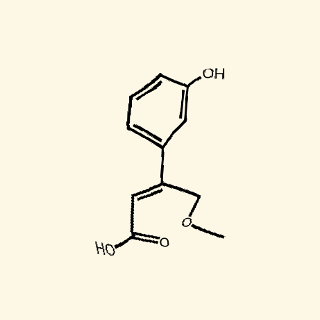 COCC(=CC(=O)O)c1cccc(O)c1